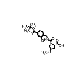 COC1C[C@@H](C(=O)O)N(C(=O)NCc2ccc(C(=O)OC(C)(C)C)cc2Cl)C1